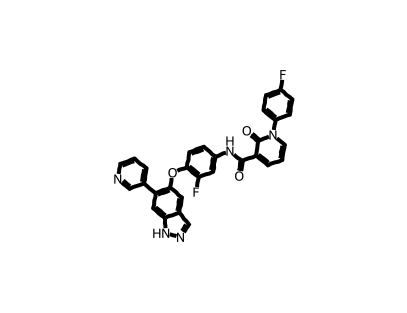 O=C(Nc1ccc(Oc2cc3cn[nH]c3cc2-c2cccnc2)c(F)c1)c1cccn(-c2ccc(F)cc2)c1=O